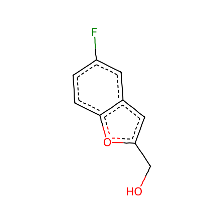 OCc1cc2cc(F)ccc2o1